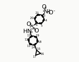 O=[N+]([O-])c1ccc(S(=O)(=O)Nc2ccc(C3CC3)cc2)cc1